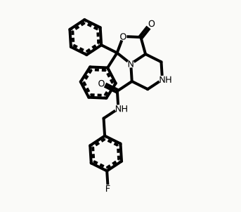 O=C(NCc1ccc(F)cc1)C1CNCC2C(=O)OC(c3ccccc3)(c3ccccc3)N12